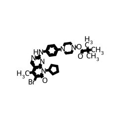 Cc1c(Br)c(=O)n(C2CCCC2)c2nc(Nc3ccc(N4CCN(OC(=O)C(C)(C)C)CC4)cc3)ncc12